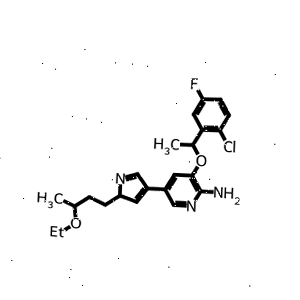 CCOC(C)CCC1C=C(c2cnc(N)c(OC(C)c3cc(F)ccc3Cl)c2)C=N1